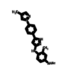 CC(=O)Nc1ccc(Nc2cc(-c3ccc(-n4cc(C)cn4)cc3)[nH]n2)c(C)c1